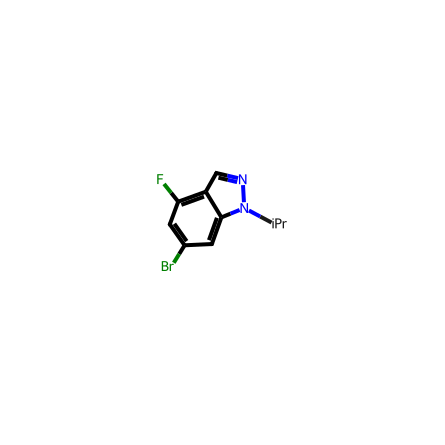 CC(C)n1ncc2c(F)cc(Br)cc21